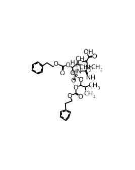 CC(C)C(OC(=O)OCCc1ccccc1)OP(=O)(NC(=N)N(C)C(C)C(=O)O)OC(OC(=O)OCCc1ccccc1)C(C)C